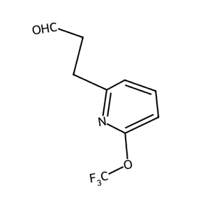 O=CCCc1cccc(OC(F)(F)F)n1